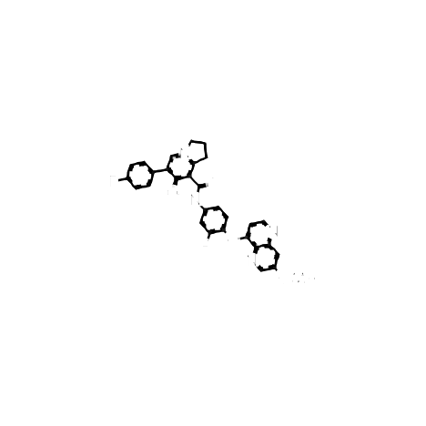 COc1cnc2c(Oc3ccc(NC(=O)c4c5n(cc(-c6ccc(F)cc6)c4=O)CCC5)cc3F)ccnc2c1